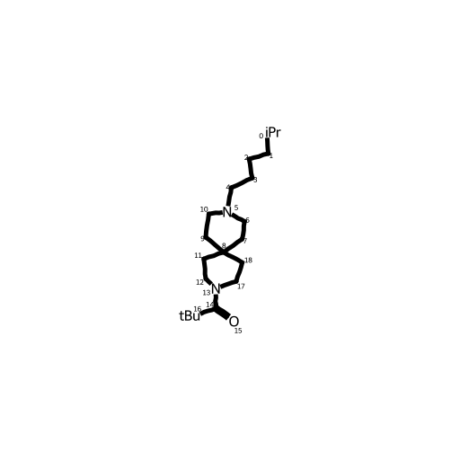 CC(C)CCCCN1CCC2(CC1)CCN(C(=O)C(C)(C)C)CC2